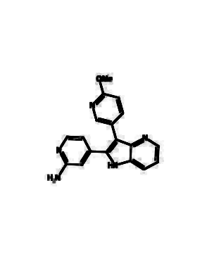 COc1ccc(-c2c(-c3ccnc(N)c3)[nH]c3cccnc23)cn1